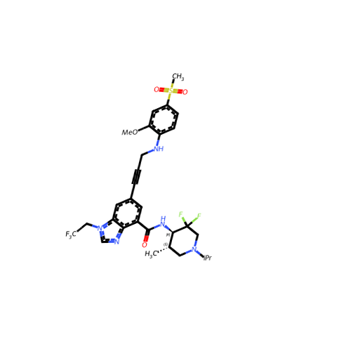 COc1cc(S(C)(=O)=O)ccc1NCC#Cc1cc(C(=O)N[C@@H]2[C@@H](C)CN(C(C)C)CC2(F)F)c2ncn(CC(F)(F)F)c2c1